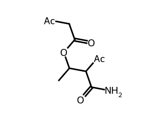 CC(=O)CC(=O)OC(C)C(C(C)=O)C(N)=O